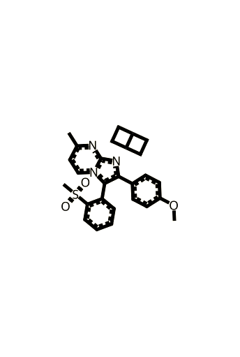 C1CC2CCC12.COc1ccc(-c2nc3nc(C)ccn3c2-c2ccccc2S(C)(=O)=O)cc1